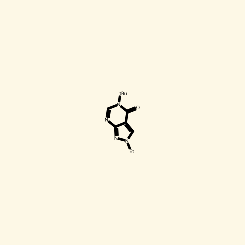 CCn1cc2c(=O)n(C(C)(C)C)cnc2n1